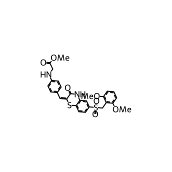 COC(=O)CNc1ccc(C=C2Sc3ccc(S(=O)(=O)Cc4c(OC)cccc4OC)cc3NC2=O)cc1